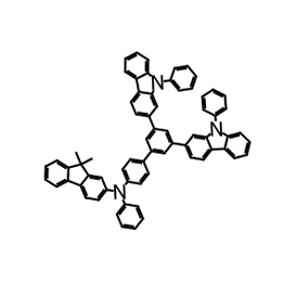 CC1(C)c2ccccc2-c2ccc(N(c3ccccc3)c3ccc(-c4cc(-c5ccc6c7ccccc7n(-c7ccccc7)c6c5)cc(-c5ccc6c7ccccc7n(-c7ccccc7)c6c5)c4)cc3)cc21